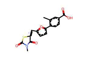 Cc1cc(C(=O)O)ccc1-c1ccc(/C=C2/SC(=O)N(C)C2=O)o1